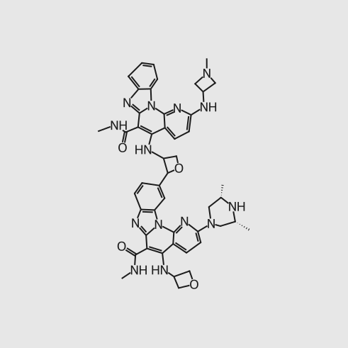 CNC(=O)c1c(NC2COC2)c2ccc(N3C[C@@H](C)N[C@@H](C)C3)nc2n2c1nc1ccc(C3OCC3Nc3c(C(=O)NC)c4nc5ccccc5n4c4nc(NC5CN(C)C5)ccc34)cc12